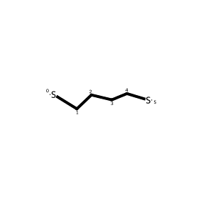 [S]CCCC[S]